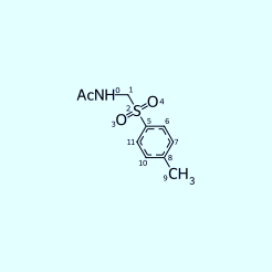 CC(=O)NCS(=O)(=O)c1ccc(C)cc1